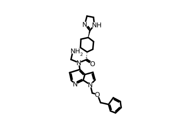 NCN(c1ccnc2c1ccn2COCc1ccccc1)C(=O)[C@H]1CC[C@H](C2=NCCN2)CC1